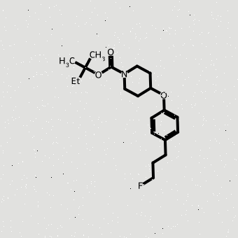 CCC(C)(C)OC(=O)N1CCC(Oc2ccc(CCCF)cc2)CC1